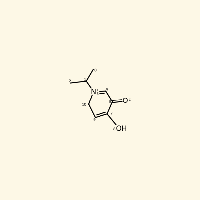 CC(C)[N+]1=CC(=O)C(O)=CC1